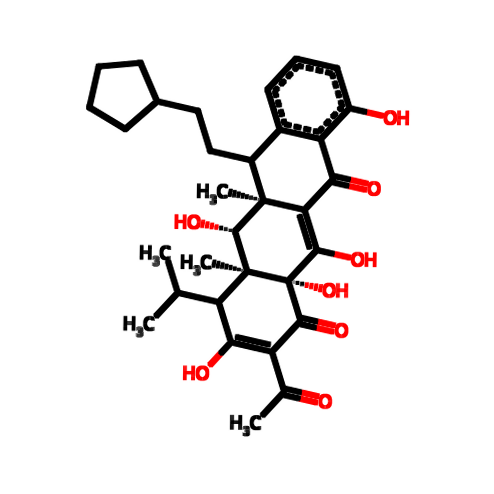 CC(=O)C1=C(O)C(C(C)C)[C@@]2(C)[C@H](O)[C@]3(C)C(=C(O)[C@@]2(O)C1=O)C(=O)c1c(O)cccc1C3CCC1CCCC1